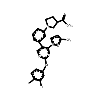 COC(=O)C1CCN(c2cccc(-c3cnc(Nc4ccc(F)c(Cl)c4)nc3-n3ccc(C(F)(F)F)n3)c2)C1